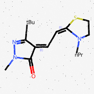 CCCN1CCS/C1=C/C=C1/C(=O)N(C)N=C1C(C)(C)C